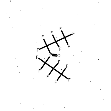 O=[P](C(F)(F)C(F)(F)C(F)(F)F)C(F)(F)C(F)(F)C(F)(F)F